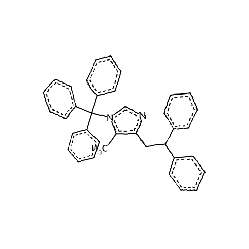 Cc1c(CC(c2ccccc2)c2ccccc2)ncn1C(c1ccccc1)(c1ccccc1)c1ccccc1